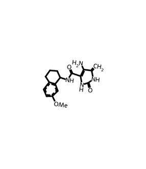 C=C1NC(=O)NC(C(=O)NC2CCCc3ccc(OC)cc32)=C1N